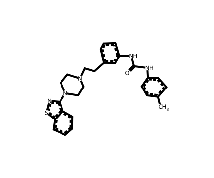 Cc1ccc(NC(=O)Nc2cccc(CCN3CCN(c4nsc5ccccc45)CC3)c2)cc1